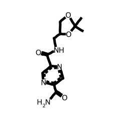 CC1(C)OCC(CNC(=O)c2cnc(C(N)=O)cn2)O1